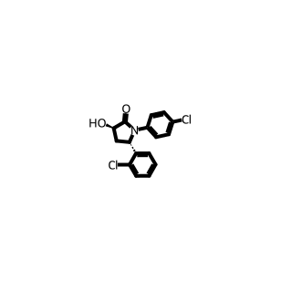 O=C1[C@H](O)C[C@@H](c2ccccc2Cl)N1c1ccc(Cl)cc1